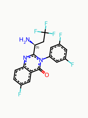 N[C@@H](CC(F)(F)F)c1nc2ccc(F)cc2c(=O)n1-c1cc(F)cc(F)c1